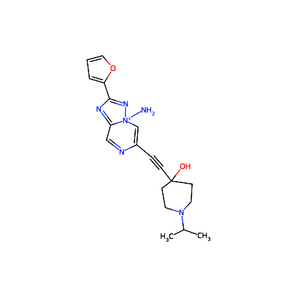 CC(C)N1CCC(O)(C#CC2=C[N+]3(N)N=C(c4ccco4)N=C3C=N2)CC1